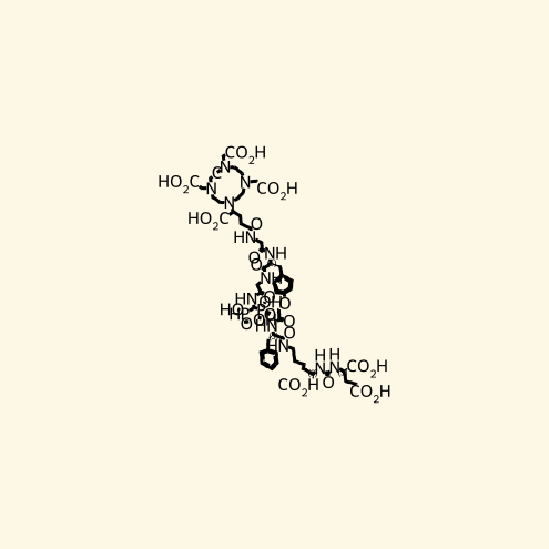 O=C(O)CC[C@H](NC(=O)N[C@@H](CCCCNC(=O)[C@H](Cc1ccccc1)NC(=O)COc1ccc(C[C@H](NC(=O)CNC(=O)CCC(C(=O)O)N2CCN(CC(=O)O)CCN(CC(=O)O)CCN(CC(=O)O)CC2)C(=O)NCC(=O)NC([PH](=O)O)P(=O)(O)O)cc1)C(=O)O)C(=O)O